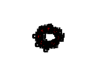 OC1[C@@H]2OC(CCl)[C@@H](O[C@H]3OC(CCl)[C@@H](O[C@H]4OC(CCl)[C@@H](O[C@@H]5OC(CCl)[C@@H](O)[C@H](O[C@H]6OC(CCl)[C@@H](O[C@H]7CC(CCl)[C@@H](O[C@@H]8OC(CCl)[C@@H](O[C@H]9OC(CCl)[C@@H](O2)[C@H](O)C9O)[C@H](O)C8O)[C@H](O)C7O)[C@H](O)C6O)C5O)[C@H](O)C4O)[C@H](O)C3O)[C@@H]1O